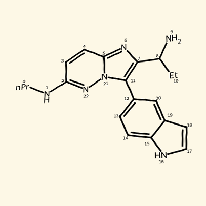 CCCNc1ccc2nc(C(N)CC)c(-c3ccc4[nH]ccc4c3)n2n1